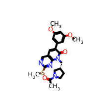 COc1cc(OC)cc(-c2cc3cnc(SC)nc3n(C[C@@H]3CCN(C(C)=O)C3)c2=O)c1